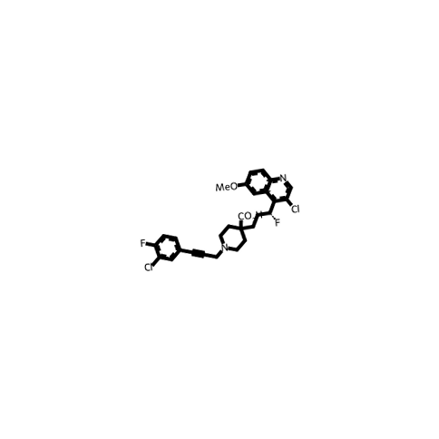 COc1ccc2ncc(Cl)c([C@H](F)CCC3(C(=O)O)CCN(CC#Cc4ccc(F)c(Cl)c4)CC3)c2c1